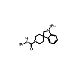 CC(C)NC(=O)N1CCC2(CC1)CN(C(C)(C)C)c1ccccc12